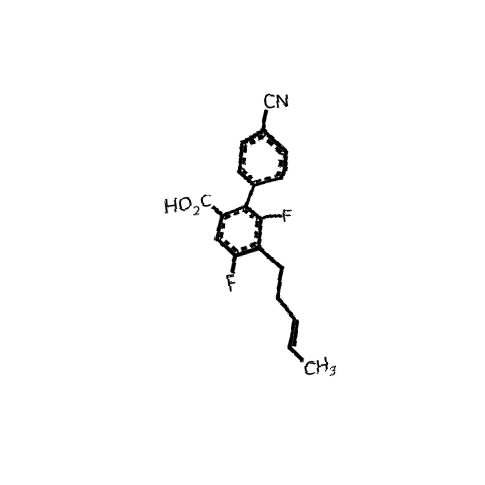 CC=CCCc1c(F)cc(C(=O)O)c(-c2ccc(C#N)cc2)c1F